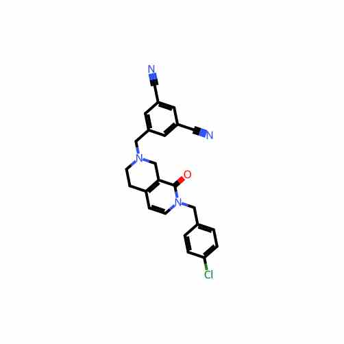 N#Cc1cc(C#N)cc(CN2CCc3ccn(Cc4ccc(Cl)cc4)c(=O)c3C2)c1